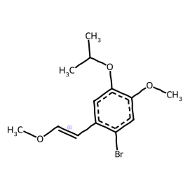 CO/C=C/c1cc(OC(C)C)c(OC)cc1Br